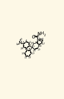 CN(C)c1ccc(C2(c3ccccc3)C=Cc3[c]nn(C(N)=O)c3C2)cc1